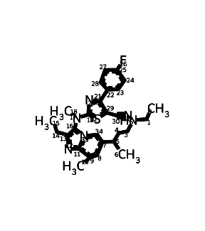 CCNCCC(C)c1cc(C)c2nc(CC)c(N(C)c3nc(-c4ccc(F)cc4)c(C#N)s3)n2c1